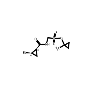 CC[C@@H]1C[C@@H]1C(=O)NCS(=O)(=O)OC1(C)CC1